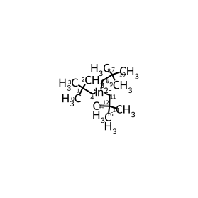 CC(C)(C)[CH2][In-2]([CH2]C(C)(C)C)[CH2]C(C)(C)C